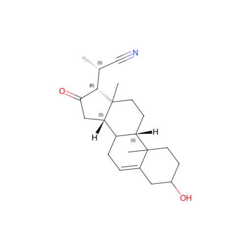 C[C@H](C#N)[C@H]1C(=O)C[C@H]2C3CC=C4CC(O)CCC4(C)[C@H]3CCC12C